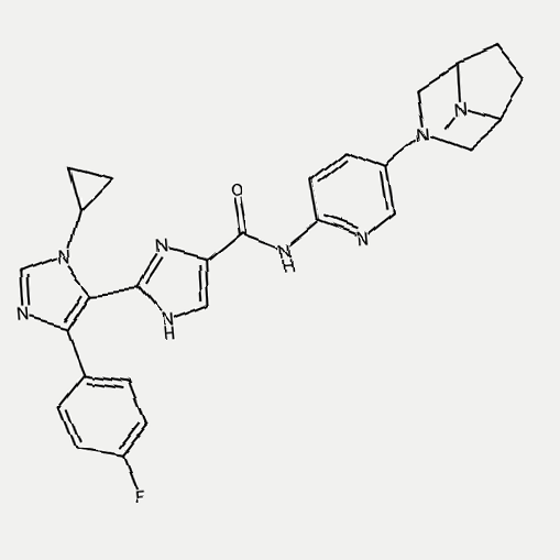 CN1C2CCC1CN(c1ccc(NC(=O)c3c[nH]c(-c4c(-c5ccc(F)cc5)ncn4C4CC4)n3)nc1)C2